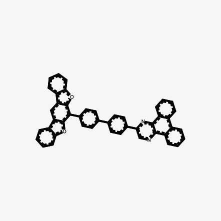 c1ccc2c(c1)oc1c(-c3ccc(-c4ccc(-c5cnc6c7ccccc7c7ccccc7c6n5)cc4)cc3)c3oc4ccccc4c3cc12